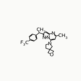 Cc1cc(N2CCC3(COC3)C2)n2nc(C(C)c3ccc(C(F)(F)F)cc3)cc2n1